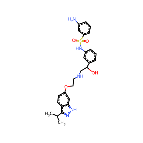 CC(C)c1n[nH]c2cc(OCCNCC(O)c3cccc(NS(=O)(=O)c4cccc(N)c4)c3)ccc12